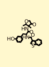 CC1OCC(=O)C1(C)NC(=O)C(Cc1cccc(O)c1)NC(=O)c1csc2ccccc12